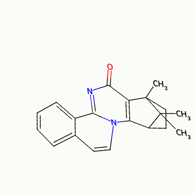 CC12CCC(c3c1c(=O)nc1c4ccccc4ccn31)C2(C)C